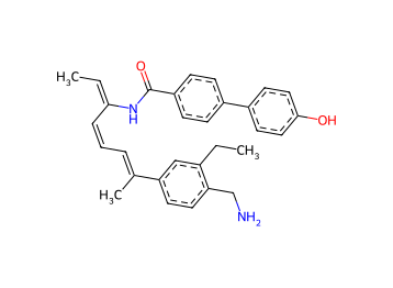 C\C=C(/C=C\C=C(/C)c1ccc(CN)c(CC)c1)NC(=O)c1ccc(-c2ccc(O)cc2)cc1